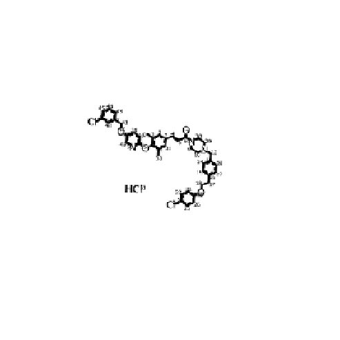 Cc1cc(C=CC(=O)N2CCN(Cc3ccc(CCOc4ccc(Cl)cc4)cc3)CC2)cc(C)c1Oc1ccc(OCc2cccc(Cl)c2)cn1.Cl